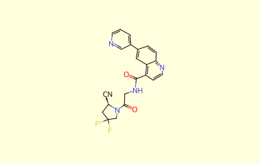 N#C[C@@H]1CC(F)(F)CN1C(=O)CNC(=O)c1ccnc2ccc(-c3cccnc3)cc12